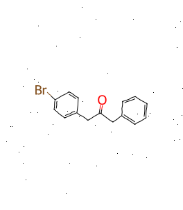 O=C(Cc1ccccc1)Cc1ccc(Br)cc1